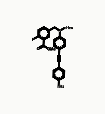 CCCCCCN(Cc1ccc(F)c(C(=O)OC)c1)c1ccc(C#Cc2ccc(CCCC)cc2)cc1